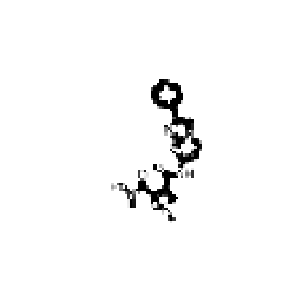 CCN(C)C(=O)c1nn(C)cc1C(=O)Nc1ccn2cc(-c3ccccc3)nc2n1